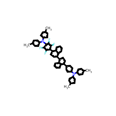 Cc1ccc(N(c2ccc(C)cc2)c2ccc(-c3ccc(-c4ccc(-c5c(F)c(F)c(N(c6ccc(C)cc6)c6ccc(C)cc6)c(F)c5F)c5ccccc45)c4ccccc34)cc2)cc1